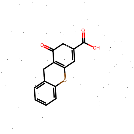 O=C(O)C1=CC2=C(Cc3ccccc3S2)C(=O)C1